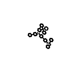 C1=CCCC(C2(c3ccccc3)c3ccccc3-c3ccc(N(c4ccc(-c5ccccc5)cc4)c4ccc(-c5ccc(N6c7ccccc7CC6c6ccccc6)cc5)cc4)cc32)=C1